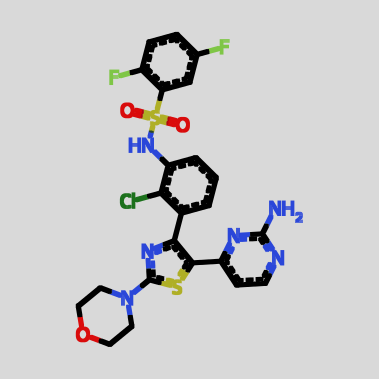 Nc1nccc(-c2sc(N3CCOCC3)nc2-c2cccc(NS(=O)(=O)c3cc(F)ccc3F)c2Cl)n1